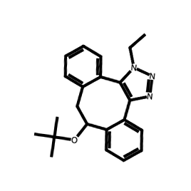 CCn1nnc2c1-c1ccccc1CC(OC(C)(C)C)c1ccccc1-2